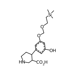 C[Si](C)(C)CCOCOc1cc(O)cc(C2CCNCC2C(=O)O)c1